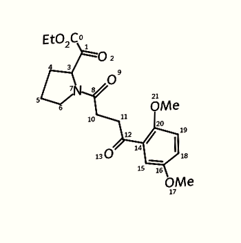 CCOC(=O)C(=O)C1CCCN1C(=O)CCC(=O)c1cc(OC)ccc1OC